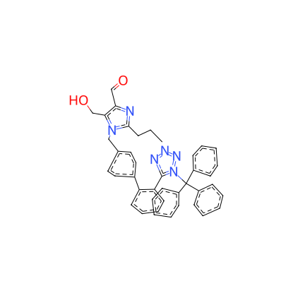 CCCc1nc(C=O)c(CO)n1Cc1ccc(-c2ccccc2-c2nnnn2C(c2ccccc2)(c2ccccc2)c2ccccc2)cc1